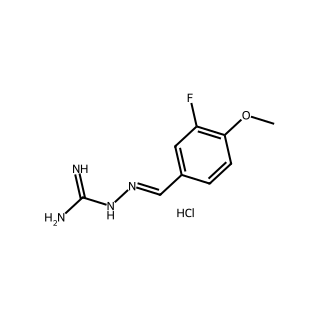 COc1ccc(C=NNC(=N)N)cc1F.Cl